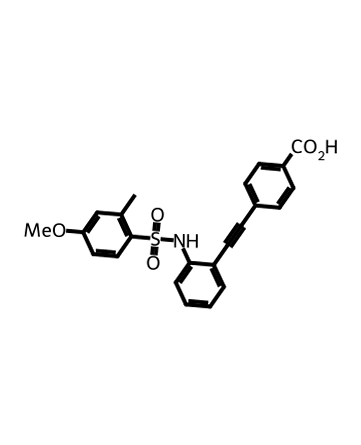 COc1ccc(S(=O)(=O)Nc2ccccc2C#Cc2ccc(C(=O)O)cc2)c(C)c1